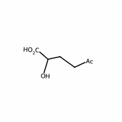 CC(=O)CCC(O)C(=O)O